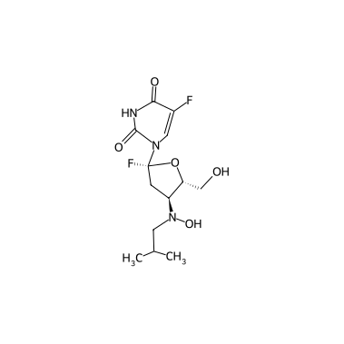 CC(C)CN(O)[C@H]1C[C@@](F)(n2cc(F)c(=O)[nH]c2=O)O[C@@H]1CO